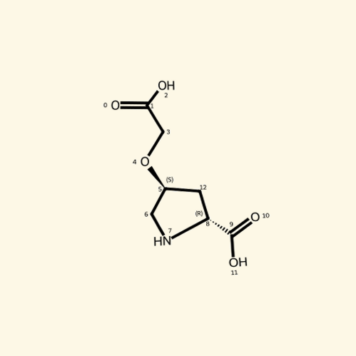 O=C(O)CO[C@@H]1CN[C@@H](C(=O)O)C1